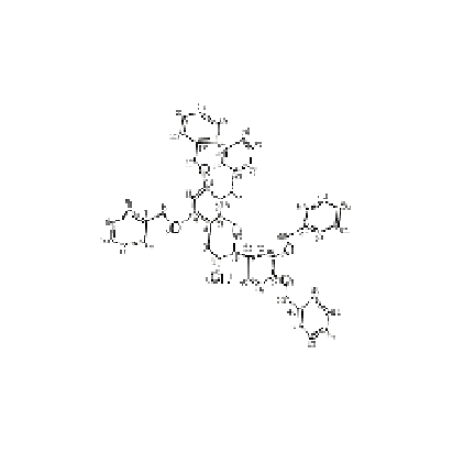 O[C@@H]1Cc2c(OCc3ccccc3)cc(OCc3ccccc3)c(Cc3ccccc3)c2O[C@H]1c1ccc(OCc2ccccc2)c(OCc2ccccc2)c1